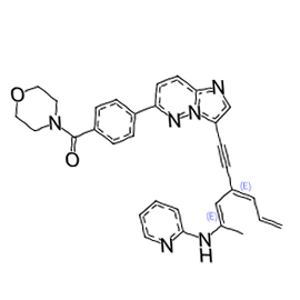 C=C/C=C(C#Cc1cnc2ccc(-c3ccc(C(=O)N4CCOCC4)cc3)nn12)\C=C(/C)Nc1ccccn1